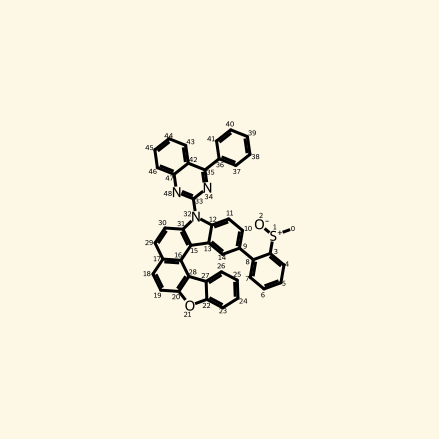 C[S+]([O-])c1ccccc1-c1ccc2c(c1)c1c3c(ccc4oc5ccccc5c43)ccc1n2-c1nc(-c2ccccc2)c2ccccc2n1